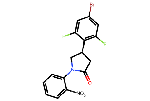 O=C1C[C@H](c2c(F)cc(Br)cc2F)CN1c1ccccc1[N+](=O)[O-]